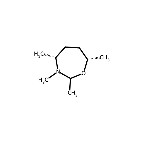 CC1O[C@@H](C)CC[C@@H](C)N1C